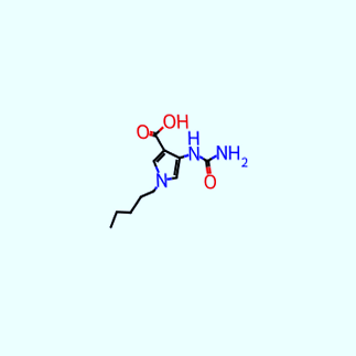 CCCCCn1cc(NC(N)=O)c(C(=O)O)c1